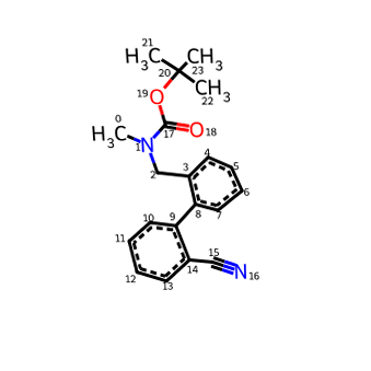 CN(Cc1ccccc1-c1ccccc1C#N)C(=O)OC(C)(C)C